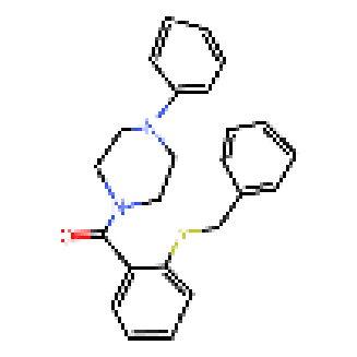 O=C(c1ccccc1SCc1ccccc1)N1CCN(c2ccccc2)CC1